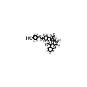 C[C@@H](C(=O)N[C@H](C(=O)N1CCC2CCN(CCc3ccc(O)cc3)CC21)C1CCCCC1)N(C)C(=O)OC(C)(C)C